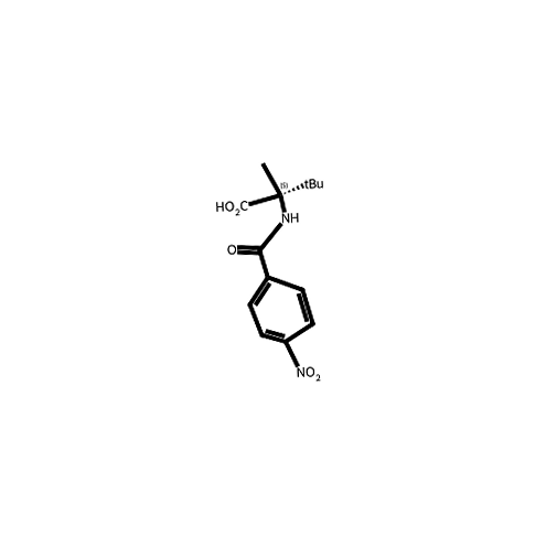 CC(C)(C)[C@](C)(NC(=O)c1ccc([N+](=O)[O-])cc1)C(=O)O